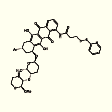 CO[C@H]1OCCN[C@@H]1O[C@H]1CC[C@H](O[C@H]2C[C@H](C(C)=O)Cc3c(O)c4c(c(O)c32)C(=O)c2c(NC(=O)CCSSc3ccccn3)cccc2C4=O)O[C@H]1C